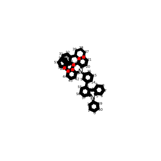 c1ccc(-n2c3ccccc3c3c(-c4cccc(N(c5ccccc5-c5cccc6cccc(C7CCCCC7)c56)c5cccc6c5sc5ccccc56)c4)cccc32)cc1